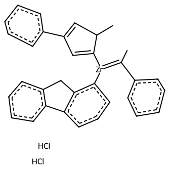 C/[C](c1ccccc1)=[Zr](\[C]1=CC(c2ccccc2)=CC1C)[c]1cccc2c1Cc1ccccc1-2.Cl.Cl